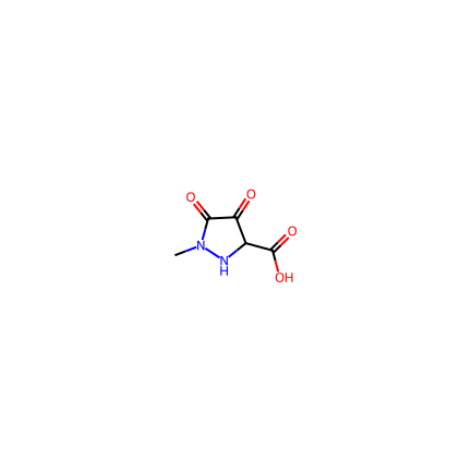 CN1NC(C(=O)O)C(=O)C1=O